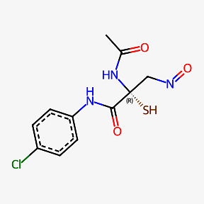 CC(=O)N[C@@](S)(CN=O)C(=O)Nc1ccc(Cl)cc1